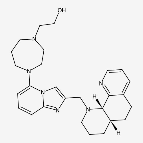 OCCN1CCCN(c2cccc3nc(CN4CCC[C@H]5CCc6cccnc6[C@H]54)cn23)CC1